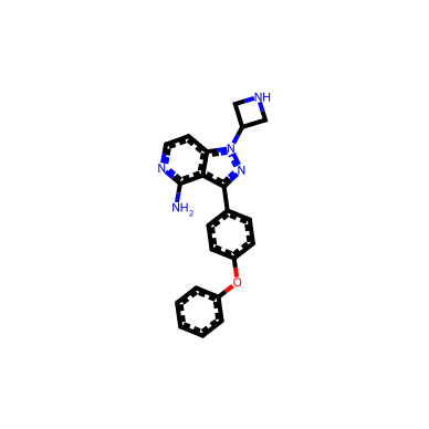 Nc1nccc2c1c(-c1ccc(Oc3ccccc3)cc1)nn2C1CNC1